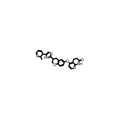 CC1N=CC=CC1c1cnc(C2COc3ccc(Oc4ccnc5c4CCC(=O)N5)cc3C2)[nH]1